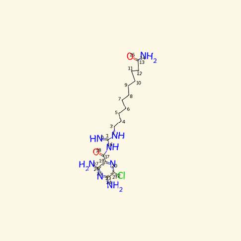 N=C(NCCCCCCCCCCC(N)=O)NC(=O)c1nc(Cl)c(N)nc1N